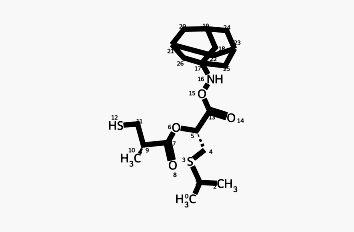 CC(C)SC[C@H](OC(=O)[C@H](C)CS)C(=O)ONC12CC3CC(CC(C3)C1)C2